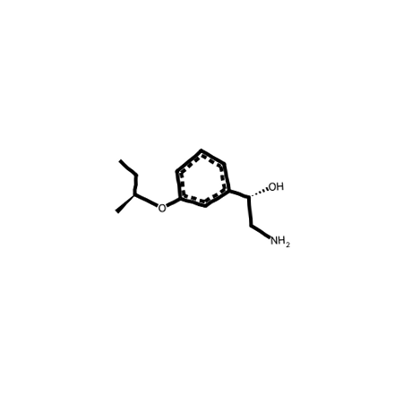 CC[C@H](C)Oc1cccc([C@H](O)CN)c1